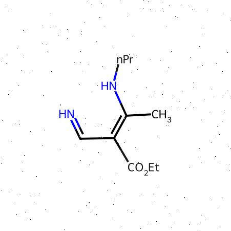 CCCN/C(C)=C(\C=N)C(=O)OCC